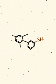 Cc1cc(C)c(-c2cccc(S)c2)c(C)c1